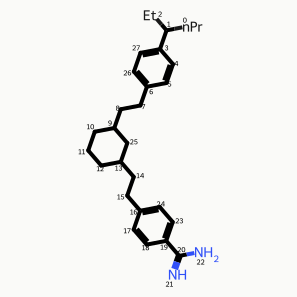 CCCC(CC)c1ccc(CCC2CCCC(CCc3ccc(C(=N)N)cc3)C2)cc1